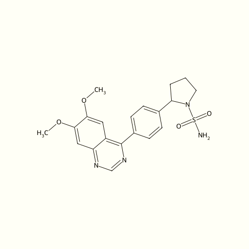 COc1cc2ncnc(-c3ccc(C4CCCN4S(N)(=O)=O)cc3)c2cc1OC